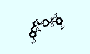 COc1ccc(Cc2csc(N3CCC(S(=O)(=O)c4cc(OC)ccc4OC)CC3)n2)c(OC)c1